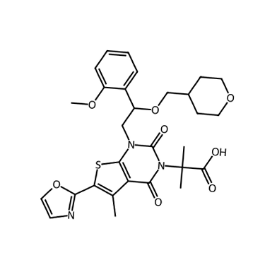 COc1ccccc1C(Cn1c(=O)n(C(C)(C)C(=O)O)c(=O)c2c(C)c(-c3ncco3)sc21)OCC1CCOCC1